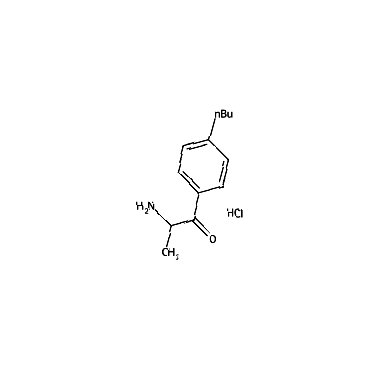 CCCCc1ccc(C(=O)C(C)N)cc1.Cl